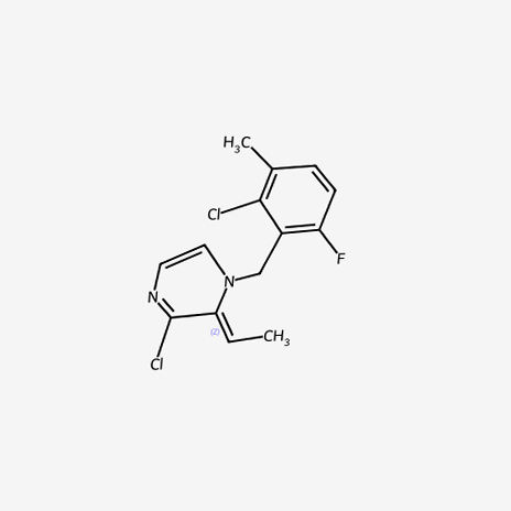 C/C=C1/C(Cl)=NC=CN1Cc1c(F)ccc(C)c1Cl